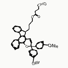 COc1ccc(C2(c3ccc(OC)cc3)C=Cc3c4c(c5ccccc5c3O2)-c2ccccc2C4CCCOC(=O)CCC=O)cc1